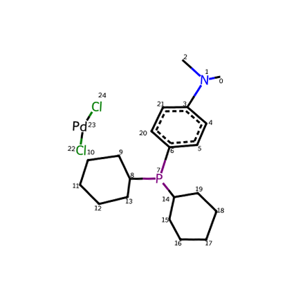 CN(C)c1ccc(P(C2CCCCC2)C2CCCCC2)cc1.[Cl][Pd][Cl]